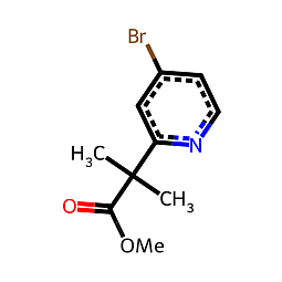 COC(=O)C(C)(C)c1cc(Br)ccn1